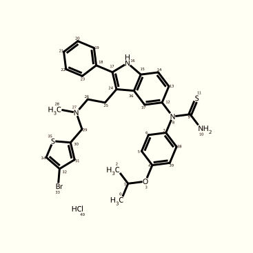 CC(C)Oc1ccc(N(C(N)=S)c2ccc3[nH]c(-c4ccccc4)c(CCN(C)Cc4cc(Br)cs4)c3c2)cc1.Cl